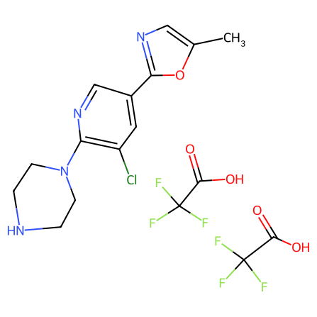 Cc1cnc(-c2cnc(N3CCNCC3)c(Cl)c2)o1.O=C(O)C(F)(F)F.O=C(O)C(F)(F)F